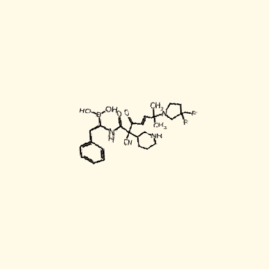 CC(C)(C=CC(=O)C(C#N)(C(=O)NC(Cc1ccccc1)B(O)O)C1CCCNC1)N1CCC(F)(F)C1